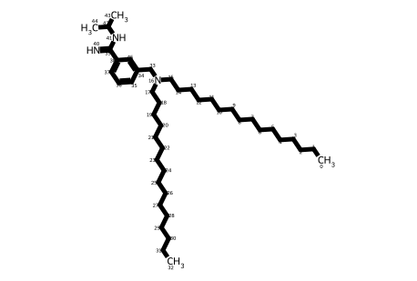 CCCCCCCCCCCCCCCCN(CCCCCCCCCCCCCCCC)Cc1cccc(C(=N)NC(C)C)c1